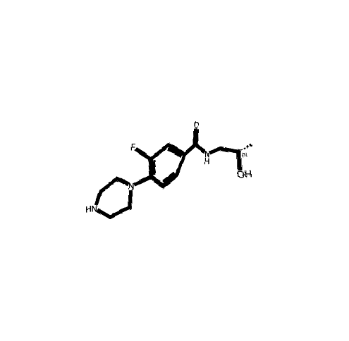 C[C@H](O)CNC(=O)c1ccc(N2CCNCC2)c(F)c1